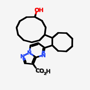 O=C(O)c1cnn2ccc(C3CCCCCCC3C3CCCCCCCC(O)CC3)nc12